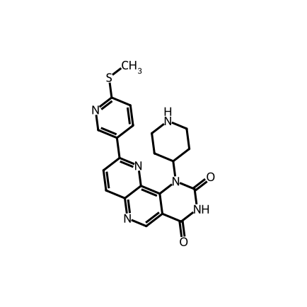 CSc1ccc(-c2ccc3ncc4c(=O)[nH]c(=O)n(C5CCNCC5)c4c3n2)cn1